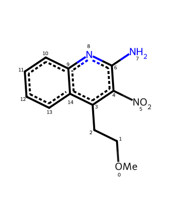 COCCc1c([N+](=O)[O-])c(N)nc2ccccc12